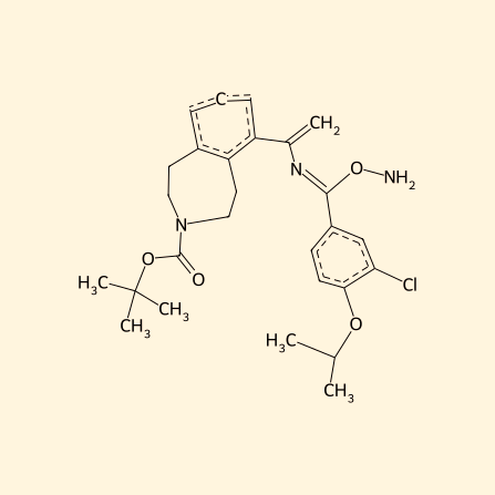 C=C(/N=C(\ON)c1ccc(OC(C)C)c(Cl)c1)c1cccc2c1CCN(C(=O)OC(C)(C)C)CC2